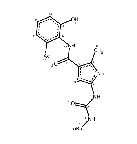 CCCCNC(=O)Nc1nc(C)c(C(=O)Nc2c(O)cccc2C(C)=O)s1